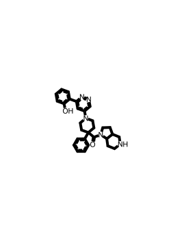 O=C(N1CCC2CNCCC21)C1(c2ccccc2)CCN(c2cnnc(-c3ccccc3O)c2)CC1